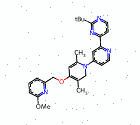 COc1cccc(COC2=C(C)CN(c3ccnc(-c4ccnc(C(C)(C)C)n4)c3)C(C)=C2)n1